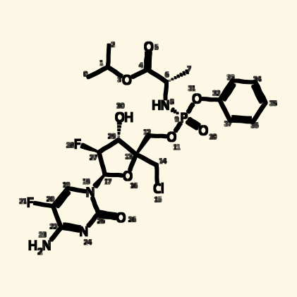 CC(C)OC(=O)[C@H](C)N[P@](=O)(OC[C@@]1(CCl)O[C@@H](n2cc(F)c(N)nc2=O)[C@@H](F)[C@@H]1O)Oc1ccccc1